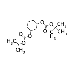 CC(C)OC(=O)OC1CCCC(OC(=O)OC(C)(C)C)C1